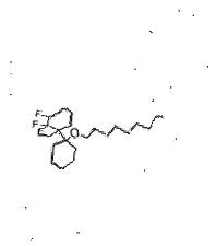 C=CC1(C2(OCCCCCCCCC)CCCCC2)C=CC=C(F)C1(F)F